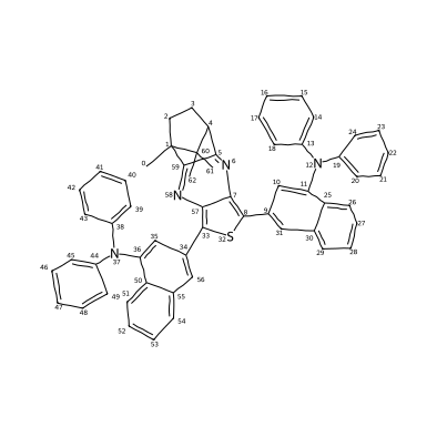 CC12CCC(c3nc4c(-c5cc(N(c6ccccc6)c6ccccc6)c6ccccc6c5)sc(-c5cc(N(c6ccccc6)c6ccccc6)c6ccccc6c5)c4nc31)C2(C)C